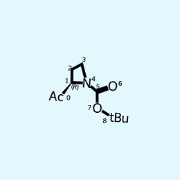 CC(=O)[C@H]1CCN1C(=O)OC(C)(C)C